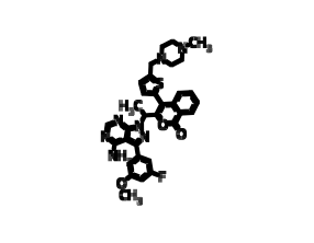 COc1cc(F)cc(-c2nn(C(C)c3oc(=O)c4ccccc4c3-c3ccc(CN4CCN(C)CC4)s3)c3ncnc(N)c23)c1